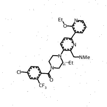 CCOc1ncccc1-c1ccc(N2CCN(C(=O)c3ccc(Cl)cc3C(F)(F)F)C[C@H]2CC)c(CNC)n1